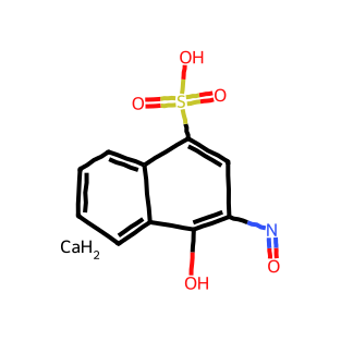 O=Nc1cc(S(=O)(=O)O)c2ccccc2c1O.[CaH2]